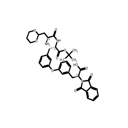 CC(C)(C)OC(=O)[C@H](Cc1cccc(Oc2cccc(C[C@@H](C(=O)O)N3C(=O)c4ccccc4C3=O)c2)c1)NC(=O)[C@@H](N)CC1OCCCO1